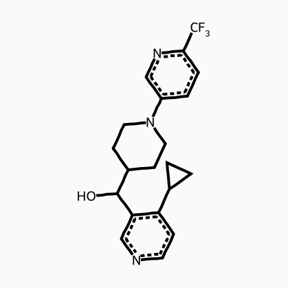 OC(c1cnccc1C1CC1)C1CCN(c2ccc(C(F)(F)F)nc2)CC1